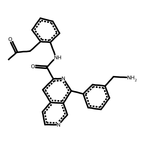 CC(=O)Cc1ccccc1NC(=O)c1cc2ccncc2c(-c2cccc(CN)c2)n1